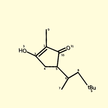 CC1=C(O)CC(C(C)CC(C)(C)C)C1=O